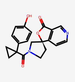 O=C1O[C@]2(CCN(C(=O)C3(c4ccc(O)cc4)CC3)C2)c2ccncc21